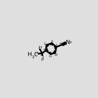 CC(I)(I)c1ccc(C#N)cc1